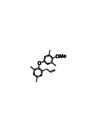 C=CCc1cc(C)cc(C)c1Oc1cc(C)c(OC)c(C)c1